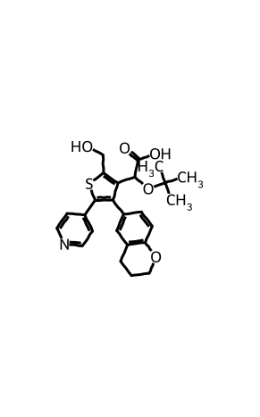 CC(C)(C)OC(C(=O)O)c1c(CO)sc(-c2ccncc2)c1-c1ccc2c(c1)CCCO2